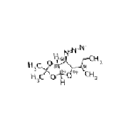 CC[C@@H](C)[C@H]1O[C@@H]2OC(C)(C)O[C@@H]2[C@H]1N=[N+]=[N-]